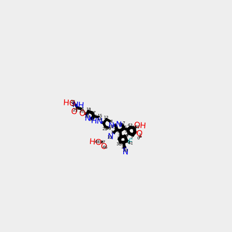 COc1ccc(-c2cnc(N3CCC(NCc4ccc(OCC(=O)NO)nc4)CC3)c(C#N)c2-c2ccc(C#N)c(F)c2)cc1O.O=CO